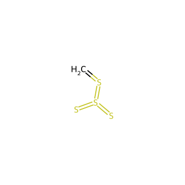 C=S=S(=S)=S